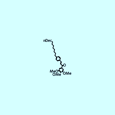 CCCCCCCCCCCCCCCCCCc1ccc(C=CC(=O)c2cc(OC)c(OC)c(OC)c2)cc1